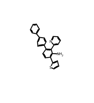 Nc1c(-c2cccs2)ccc(-c2ccc(-c3ccccc3)cc2)c1-c1ccccn1